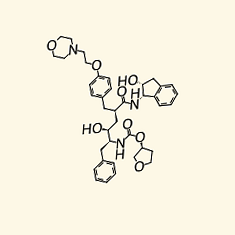 O=C(N[C@@H](Cc1ccccc1)[C@@H](O)C[C@@H](Cc1ccc(OCCN2CCOCC2)cc1)C(=O)N[C@H]1c2ccccc2C[C@H]1O)O[C@H]1CCOC1